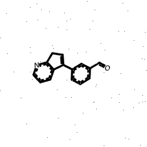 O=Cc1cccc(C2=CCc3ncccc32)c1